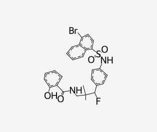 CC(C)(CNC(=O)c1ccccc1O)C(F)c1ccc(NS(=O)(=O)c2ccc(Br)c3ccccc23)cc1